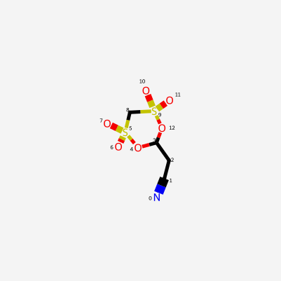 N#CCC1OS(=O)(=O)CS(=O)(=O)O1